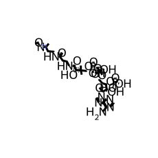 CO/N=C(\C)CCNC(=O)CCNC(=O)[C@@H](O)C(C)(C)COP(=O)(O)OP(=O)(O)OCC1OC(n2cnc3c(N)ncnc32)C(O)C1OP(=O)(O)O